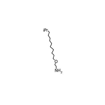 CC(C)CCCCCCCCCCOCCN